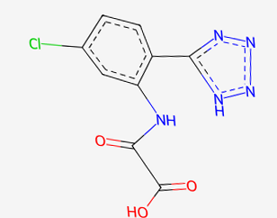 O=C(O)C(=O)Nc1cc(Cl)ccc1-c1nnn[nH]1